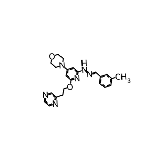 Cc1cccc(/C=N/Nc2cc(N3CCOCC3)cc(OCCc3cnccn3)n2)c1